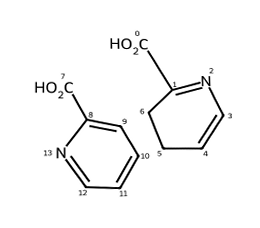 O=C(O)C1=NC=CCC1.O=C(O)c1ccccn1